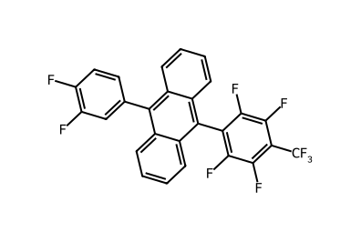 Fc1ccc(-c2c3ccccc3c(-c3c(F)c(F)c(C(F)(F)F)c(F)c3F)c3ccccc23)cc1F